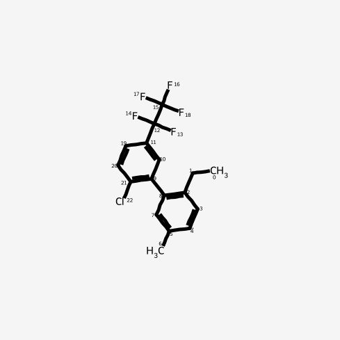 CCc1c[c]c(C)cc1-c1cc(C(F)(F)C(F)(F)F)ccc1Cl